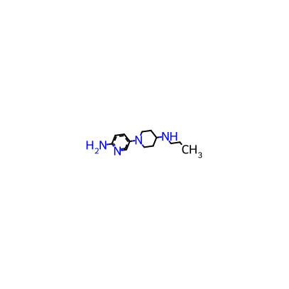 CCCNC1CCN(c2ccc(N)nc2)CC1